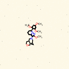 COc1cc(OC)c(-c2cccc3c(N(CC4CCOCC4)CC4CC4)c(OC)nn23)c(OC)c1